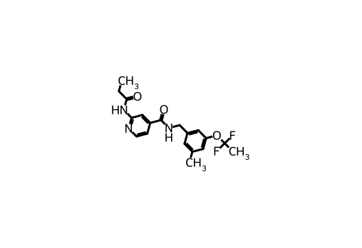 CCC(=O)Nc1cc(C(=O)NCc2cc(C)cc(OC(C)(F)F)c2)ccn1